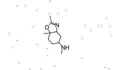 CNC1CCC2(C)OC(C)=NC2C1